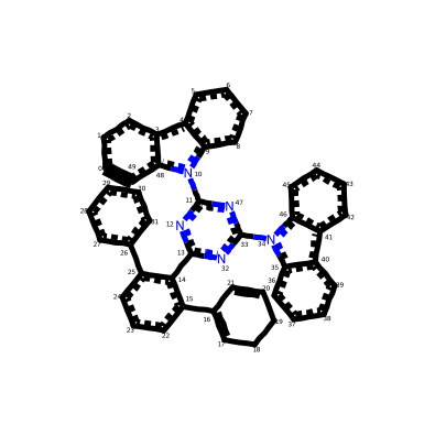 c1ccc2c3ccccc3n(-c3nc(-c4c(C5=CCCC=C5)cccc4-c4ccccc4)nc(-n4c5ccccc5c5ccccc54)n3)c2c#1